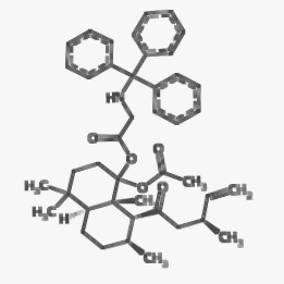 C=C[C@@H](C)CC(=O)[C@H]1[C@@H](C)CC[C@H]2C(C)(C)CCC(OC(C)=O)(OC(=O)CNC(c3ccccc3)(c3ccccc3)c3ccccc3)[C@]12C